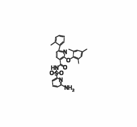 Cc1cc(C)c(Oc2nc(-c3ccccc3C)ccc2C(=O)NS(=O)(=O)c2cccc(N)n2)c(C)c1